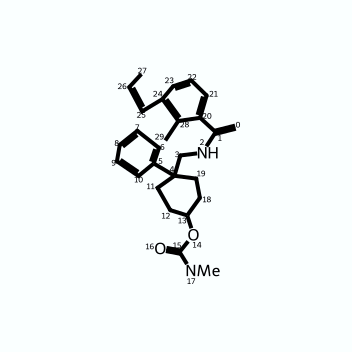 C=C(NCC1(c2ccccc2)CCC(OC(=O)NC)CC1)c1cccc(/C=C\C)c1C